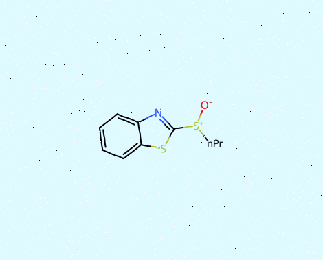 CCC[S+]([O-])c1nc2ccccc2s1